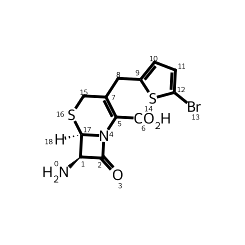 N[C@@H]1C(=O)N2C(C(=O)O)=C(Cc3ccc(Br)s3)CS[C@H]12